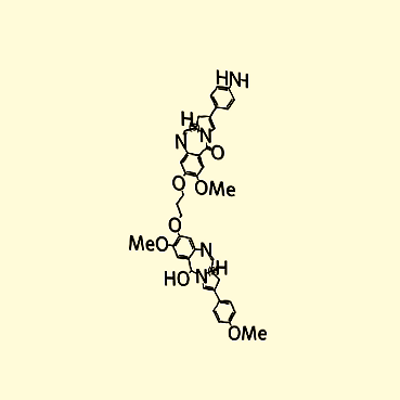 COc1ccc(C2=CN3C(O)c4cc(OC)c(OCCCOc5cc6c(cc5OC)C(=O)N5C=C(c7ccc(NI)cc7)C[C@H]5C=N6)cc4N=C[C@@H]3C2)cc1